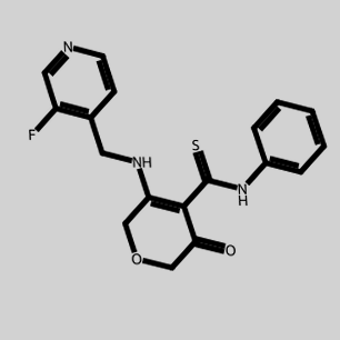 O=C1COCC(NCc2ccncc2F)=C1C(=S)Nc1ccccc1